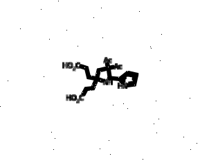 CC(=O)C1(C(C)=O)CC(CCC(=O)O)(CCC(=O)O)NC1c1ccc[nH]1